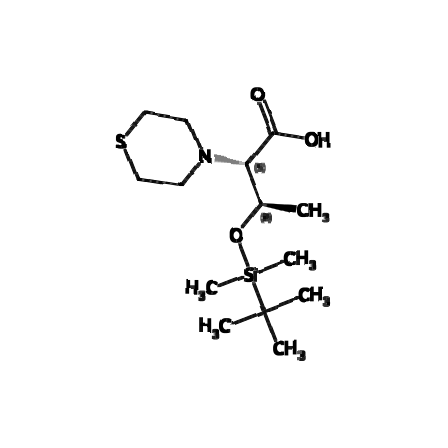 C[C@@H](O[Si](C)(C)C(C)(C)C)[C@@H](C(=O)O)N1CCSCC1